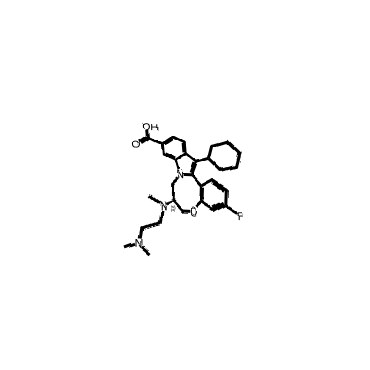 CN(C)CCN(C)[C@@H]1COc2cc(F)ccc2-c2c(C3CCCCC3)c3ccc(C(=O)O)cc3n2C1